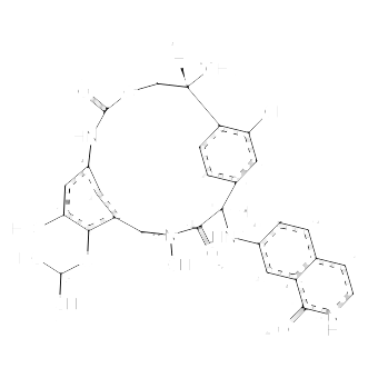 Cc1cc2ccc1[C@@H](C)COC(=O)Nc1cc(C)c(OC(C)C)c(c1)CN(C)C(=O)[C@@H]2Nc1ccc2cc[nH]c(=O)c2c1